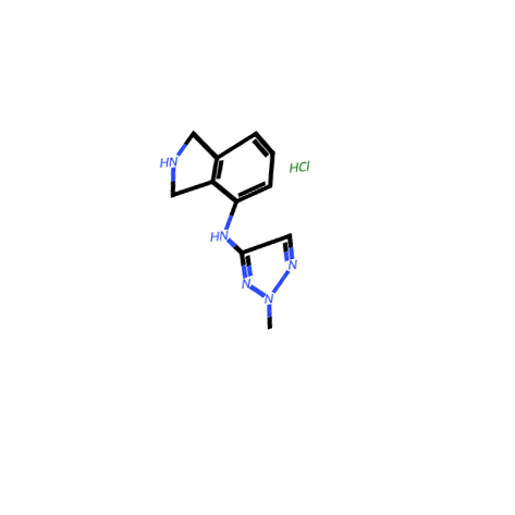 Cl.Cn1ncc(Nc2cccc3c2CNC3)n1